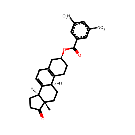 C[C@]12CC[C@H]3C(=CCC4=C3CC[C@H](OC(=O)c3cc([N+](=O)[O-])cc([N+](=O)[O-])c3)C4)[C@@H]1CCC2=O